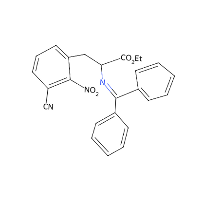 CCOC(=O)C(Cc1cccc(C#N)c1[N+](=O)[O-])N=C(c1ccccc1)c1ccccc1